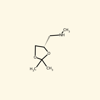 CNC[C@H]1COC(C)(C)O1